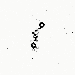 CC(NC(=O)OCc1ccccc1)c1ncc(C(=O)Nc2ccc(C(F)(F)F)c(Cl)c2)s1